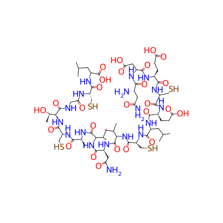 CC(C)CC(NC(=O)[C@H](CS)NC(=O)CNC(=O)[C@@H](NC(=O)C(CS)NC(=O)[C@H](C)NC(=O)C(NC(=O)[C@H](CC(N)=O)NC(=O)C(NC(=O)[C@H](CS)NC(=O)C(CC(C)C)NC(=O)[C@H](CCC(=O)O)NC(=O)C(CS)NC(=O)[C@H](CCC(=O)O)NC(=O)C(CC(=O)O)NC(=O)[C@@H](N)CC(N)=O)C(C)C)C(C)C)[C@@H](C)O)C(=O)O